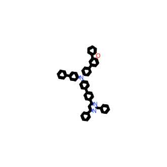 c1ccc(-c2ccc(N(c3ccc(-c4ccc(-c5cc(-c6ccccc6)nc(-c6ccccc6)n5)cc4)cc3)c3ccc(-c4ccc5oc6ccccc6c5c4)cc3)cc2)cc1